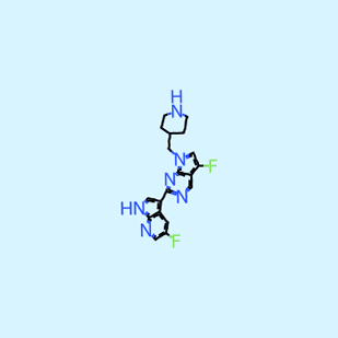 Fc1cnc2[nH]cc(-c3ncc4c(F)cn(CC5CCNCC5)c4n3)c2c1